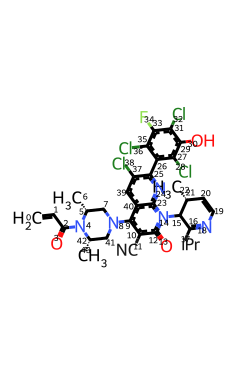 C=CC(=O)N1[C@H](C)CN(c2c(C#N)c(=O)n(C3C(C(C)C)=NC=C[C@H]3C)c3nc(-c4c(Cl)c(O)c(Cl)c(F)c4Cl)c(Cl)cc23)C[C@@H]1C